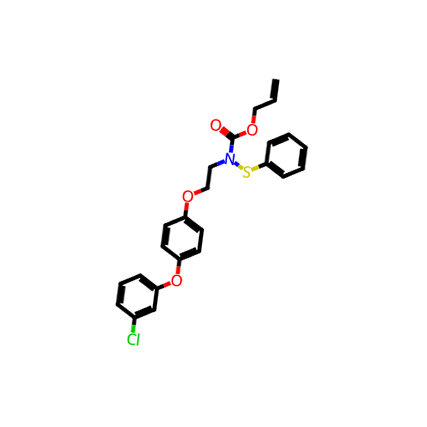 C=CCOC(=O)N(CCOc1ccc(Oc2cccc(Cl)c2)cc1)Sc1ccccc1